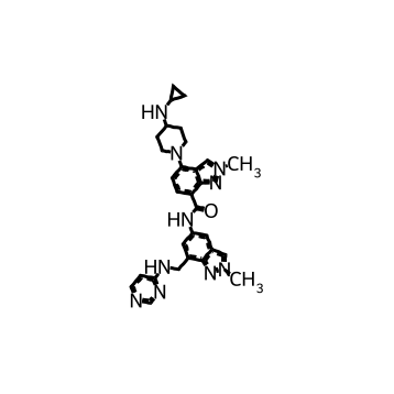 Cn1cc2cc(NC(=O)c3ccc(N4CCC(NC5CC5)CC4)c4cn(C)nc34)cc(CNc3ccncn3)c2n1